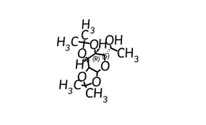 CC(O)[C@@H]1OC2OC(C)(C)OC2[C@@H]2OC(C)(C)O[C@H]12